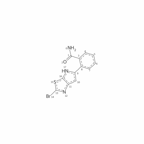 NC(=O)c1ccccc1-c1cc2nc(Br)sc2[nH]1